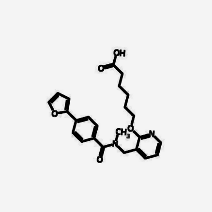 CN(Cc1cccnc1OCCCCCC(=O)O)C(=O)c1ccc(-c2ccco2)cc1